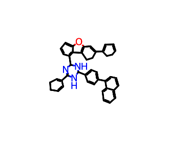 C1=CCCC(C2=Cc3oc4cccc(C5N=C(C6=CCCC=C6)NC(c6ccc(-c7cccc8ccccc78)cc6)N5)c4c3CC2)=C1